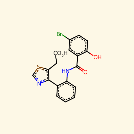 O=C(O)Cc1scnc1-c1ccccc1NC(=O)c1cc(Br)ccc1O